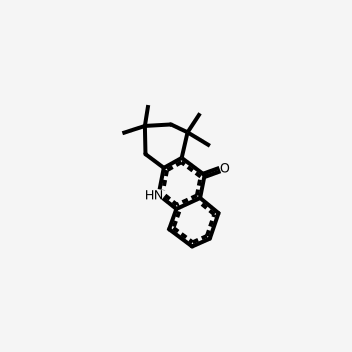 CC1(C)Cc2[nH]c3ccccc3c(=O)c2C(C)(C)C1